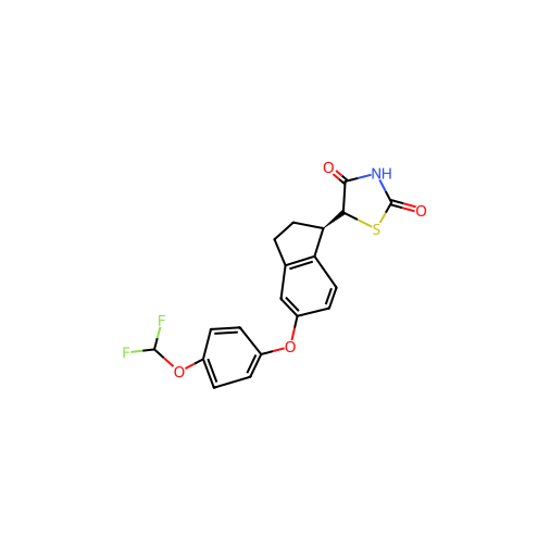 O=C1NC(=O)C([C@@H]2CCc3cc(Oc4ccc(OC(F)F)cc4)ccc32)S1